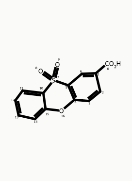 O=C(O)c1ccc2c(c1)S(=O)(=O)c1ccccc1O2